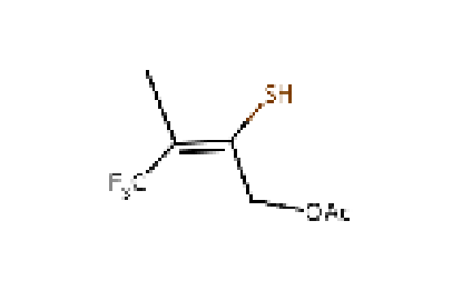 CC(=O)OC/C(S)=C(/C)C(F)(F)F